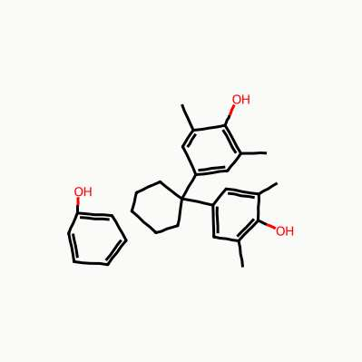 Cc1cc(C2(c3cc(C)c(O)c(C)c3)CCCCC2)cc(C)c1O.Oc1ccccc1